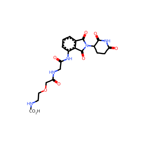 O=C(O)NCCOCC(=O)NCC(=O)Nc1cccc2c1C(=O)N(C1CCC(=O)NC1=O)C2=O